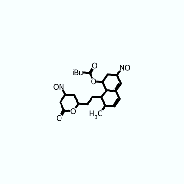 CCC(C)C(=O)OC1CC(N=O)C=C2C=CC(C)C(CCC3CC(N=O)CC(=O)O3)C21